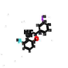 CC(Oc1cccc(F)c1C#N)c1cccc(I)c1